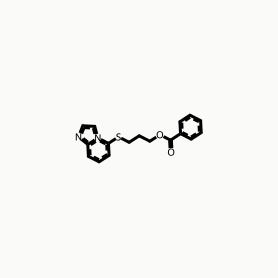 O=C(OCCCSc1cccc2nccn12)c1ccccc1